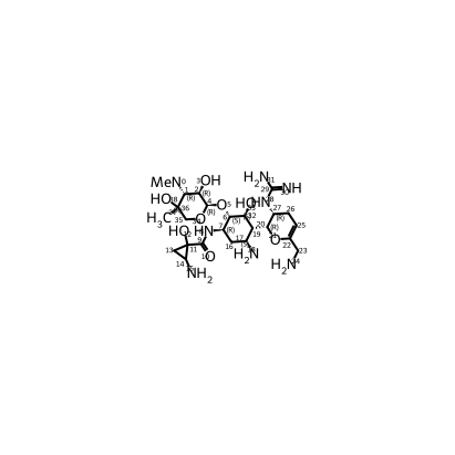 CN[C@@H]1[C@@H](O)[C@@H](O[C@H]2[C@H](NC(=O)C3(O)CC3N)C[C@H](N)C([C@H]3OC(CN)=CC[C@H]3NC(=N)N)[C@@H]2O)OC[C@]1(C)O